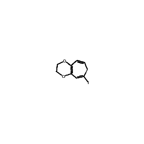 IC1=CC2=C(C=CC1)OCCO2